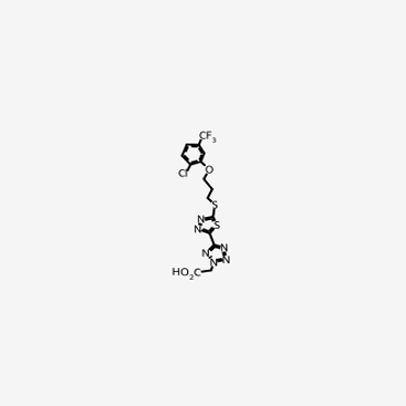 O=C(O)Cn1nnc(-c2nnc(SCCCOc3cc(C(F)(F)F)ccc3Cl)s2)n1